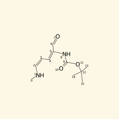 CN/C=C\C=C(/C=O)NC(=O)OC(C)(C)C